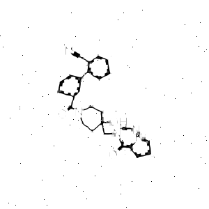 N#Cc1ccccc1-c1cccc(C(=O)N2CCC(O)(Cn3cnn4cccc4c3=O)CC2)c1